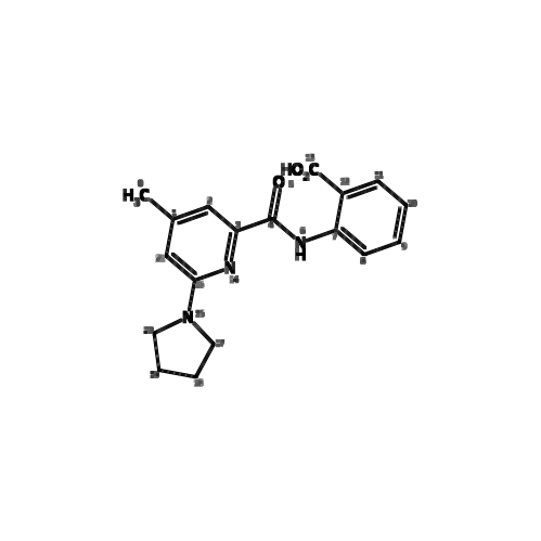 Cc1cc(C(=O)Nc2ccccc2C(=O)O)nc(N2CCCC2)c1